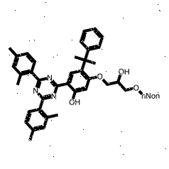 CCCCCCCCCOCC(O)COc1cc(O)c(-c2nc(-c3ccc(C)cc3C)nc(-c3ccc(C)cc3C)n2)cc1C(C)(C)c1ccccc1